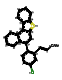 CO/C=C/c1cc(Cl)ccc1-c1cc2sc3ccccc3c2c2ccccc12